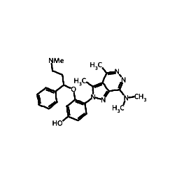 CNCCC(Oc1cc(O)ccc1-n1nc2c(N(C)C)nnc(C)c2c1C)c1ccccc1